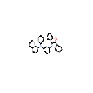 c1ccc(N(c2cccc(-n3c4ccccc4c4oc5ccccc5c43)c2)c2cccc3ccccc23)cc1